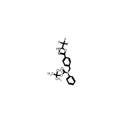 CC(C)(C)OC(=O)N(Cc1ccc(C2=NNC(C(F)(F)F)O2)cc1)c1ccccc1